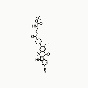 CCc1cc2c(cc1N1CCN(C(=O)CCCNC(=O)OC(C)(C)C)CC1)C(C)(C)c1[nH]c3cc(C#N)ccc3c1C2=O